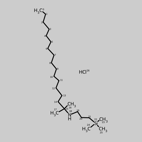 CCCCCCCCCCCCCCCC(C)(C)NCCC[Si](C)(C)C.Cl